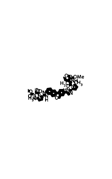 COC(=O)N[C@H](C(=O)N1[C@@H](C)CC[C@H]1c1ncc(-c2ccc3c(c2)COc2cc4c(ccc5nc([C@@H]6CC[C@H](C)N6C(=O)[C@@H](NC(=O)OI)C(C)C)[nH]c54)cc2-3)[nH]1)C1(C)CCOCC1